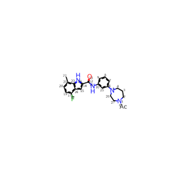 CC(=O)N1CCCN(c2cccc(NC(=O)c3cc4c(F)ccc(C)c4[nH]3)c2)CC1